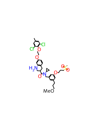 COCCCc1cc(CN(C(=O)C(CN)Cc2ccc(OCCOc3c(Cl)cc(C)cc3Cl)cc2)C2CC2)cc(OCCCS(C)(=O)=O)c1